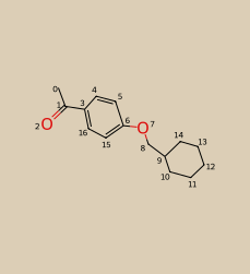 CC(=O)c1ccc(OCC2CCCCC2)cc1